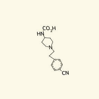 N#Cc1ccc(CCN2CCC(NC(=O)O)CC2)cc1